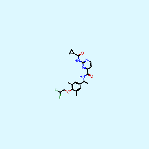 Cc1cc(C(C)NC(=O)c2ccnc(NC(=O)C3CC3)n2)cc(C)c1OCC(F)F